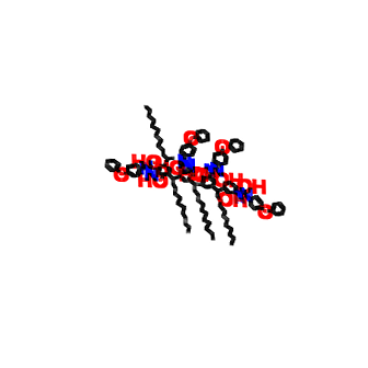 CCCCCCCCCCCC(C)c1cc(C(CCCCCCCCCCC)c2cc(C(CCCCCCCCCCC)c3cc(C(CCCCCCCCCCC)c4ccc(O)c(N=Nc5ccc(Oc6ccccc6)cc5)c4O)c(O)c(N=Nc4ccc(Oc5ccccc5)cc4)c3O)c(O)c(N=Nc3ccc(Oc4ccccc4)cc3)c2O)c(O)c(N=Nc2ccc(Oc3ccccc3)cc2)c1O